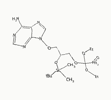 CCOC(OCC)(OCC(COn1cnc2c(N)ncnc21)O[Si](C)(C)C(C)(C)C)[PH2]=O